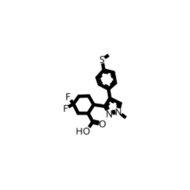 CSc1ccc(-c2cn(C)nc2C2CCC(F)(F)CC2C(=O)O)cc1